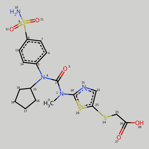 CN(C(=O)N(c1ccc(S(N)(=O)=O)cc1)C1CCCC1)c1ncc(SCC(=O)O)s1